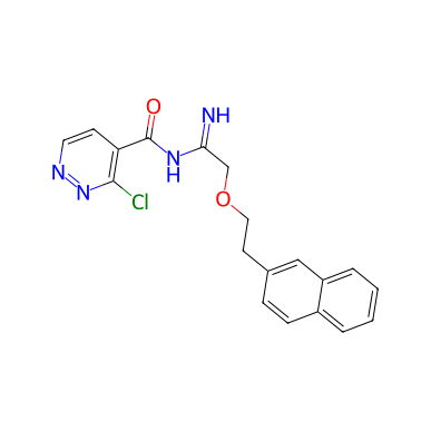 N=C(COCCc1ccc2ccccc2c1)NC(=O)c1ccnnc1Cl